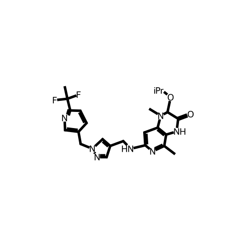 Cc1nc(NCc2cnn(Cc3ccc(C(C)(F)F)nc3)c2)cc2c1NC(=O)C(OC(C)C)N2C